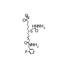 NNC(=O)CSC(CCCCC(=O)N=O)CCSCC(=O)N(N)Cc1ccccc1F